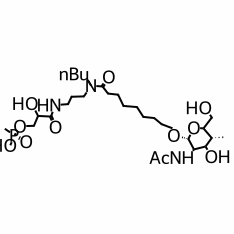 CCCCN(CCCNC(=O)C(O)COP(C)(=O)O)C(=O)CCCCCCCCO[C@@H]1OC(CO)[C@H](C)C(O)C1NC(C)=O